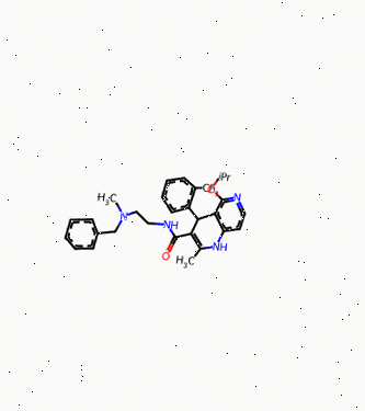 CC1=C(C(=O)NCCN(C)Cc2ccccc2)C(c2ccccc2C(F)(F)F)c2c(ccnc2OC(C)C)N1